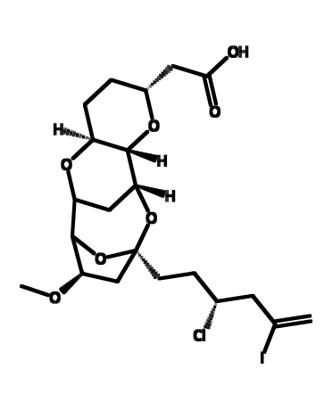 C=C(I)C[C@H](Cl)CC[C@]12C[C@@H](OC)C(O1)C1C[C@@H](O2)[C@H]2O[C@@H](CC(=O)O)CC[C@@H]2O1